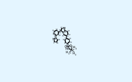 CC(C)(C)NS(=O)(=O)c1ccc(-c2ccc3ncc(-c4ccnc(-n5cccn5)c4)n3c2)cc1